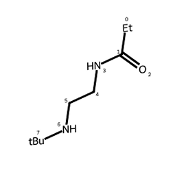 CCC(=O)NCCNC(C)(C)C